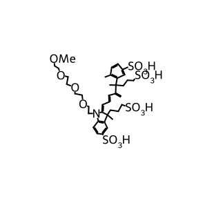 C=C(/C=C/C=C1/N(CCOCCOCCOCCOC)c2ccc(S(=O)(=O)O)cc2C1(C)CCCS(=O)(=O)O)C(C)(CCCS(=O)(=O)O)c1cc(S(=O)(=O)O)ccc1C